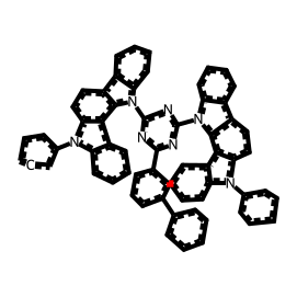 c1ccc(-c2cccc(-c3nc(-n4c5ccccc5c5ccc6c(c7ccccc7n6-c6ccccc6)c54)nc(-n4c5ccccc5c5ccc6c(c7ccccc7n6-c6ccccc6)c54)n3)c2)cc1